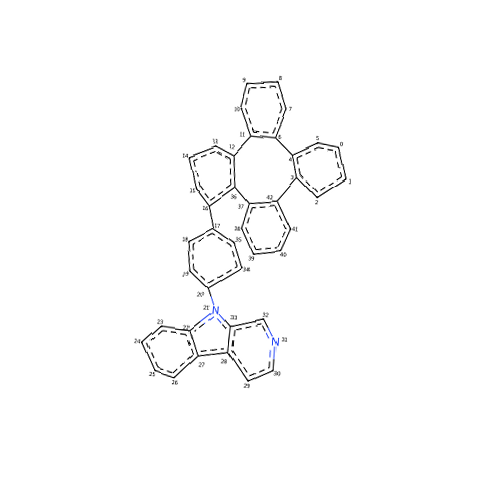 c1ccc2c(c1)-c1ccccc1-c1cccc(-c3ccc(-n4c5ccccc5c5ccncc54)cc3)c1-c1ccccc1-2